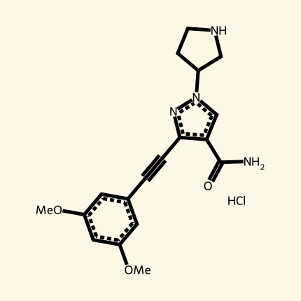 COc1cc(C#Cc2nn(C3CCNC3)cc2C(N)=O)cc(OC)c1.Cl